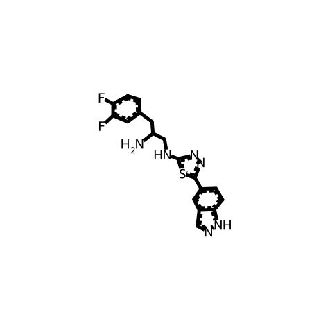 NC(CNc1nnc(-c2ccc3[nH]ncc3c2)s1)Cc1ccc(F)c(F)c1